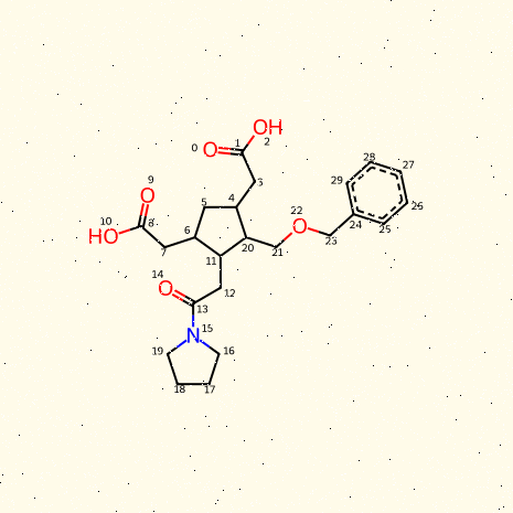 O=C(O)CC1CC(CC(=O)O)C(CC(=O)N2CCCC2)C1COCc1ccccc1